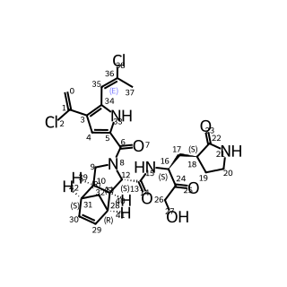 C=C(Cl)c1cc(C(=O)N2C[C@H]3[C@@H]([C@H]2C(=O)N[C@@H](C[C@@H]2CCNC2=O)C(=O)CO)[C@H]2C=C[C@@H]3C2)[nH]c1/C=C(\C)Cl